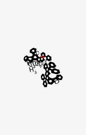 CC1(C)c2cc(N(c3ccc4c(c3)C(c3ccccc3)(c3ccccc3)c3cc5c(cc3-4)C(c3ccccc3)(c3ccccc3)c3ccc4oc6ccccc6c4c3-5)c3ccccc3-c3ccccc3)ccc2-c2c1c1c(c3c2oc2ccccc23)-c2ccccc2C1(C)C